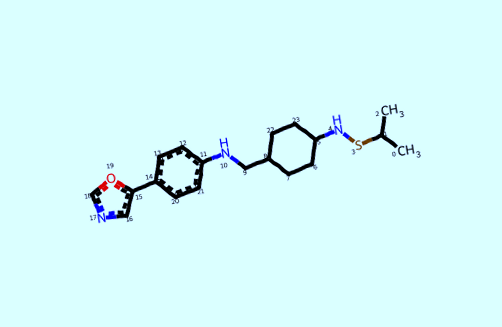 CC(C)SNC1CCC(CNc2ccc(-c3cnco3)cc2)CC1